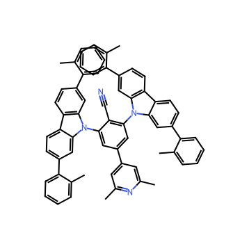 Cc1cc(-c2cc(-n3c4cc(-c5ccccc5C)ccc4c4ccc(-c5ccccc5C)cc43)c(C#N)c(-n3c4cc(-c5ccccc5C)ccc4c4ccc(-c5ccccc5C)cc43)c2)cc(C)n1